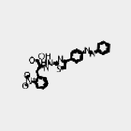 O=C(O)C(Cc1ccccc1[N+](=O)[O-])=NNc1nc(-c2ccc(N=Nc3ccccc3)cc2)cs1